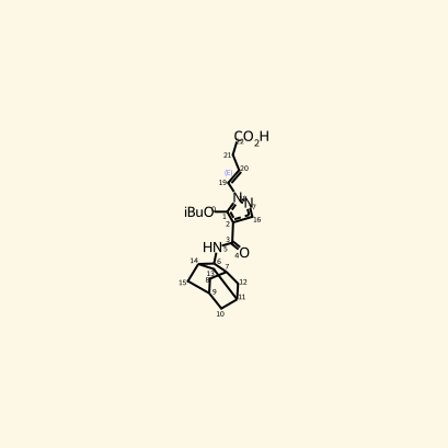 CC(C)COc1c(C(=O)NC2C3CC4CC(C3)CC2C4)cnn1/C=C/CC(=O)O